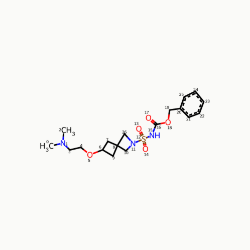 CN(C)CCOC1CC2(C1)CN(S(=O)(=O)NC(=O)OCc1ccccc1)C2